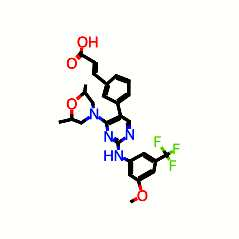 COc1cc(Nc2ncc(-c3cccc(C=CC(=O)O)c3)c(N3CC(C)OC(C)C3)n2)cc(C(F)(F)F)c1